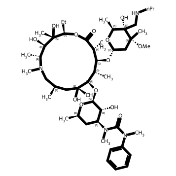 CCCNC[C@]1(O)[C@H](C)O[C@@H](O[C@H]2[C@H](C)[C@@H](O[C@@H]3O[C@H](C)C[C@H](N(C)C(=O)N(C)c4ccccc4)[C@H]3O)[C@](C)(O)C[C@@H](C)CN(C)[C@H](C)[C@@H](O)[C@](C)(O)[C@@H](CC)OC(=O)[C@@H]2C)C[C@@]1(C)OC